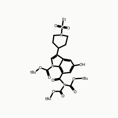 CCS(=O)(=O)N1CCC(c2cn(C(=O)OC(C)(C)C)c3c(C(=O)N(C(=O)OC(C)(C)C)C(=O)OC(C)(C)C)cc(O)cc23)CC1